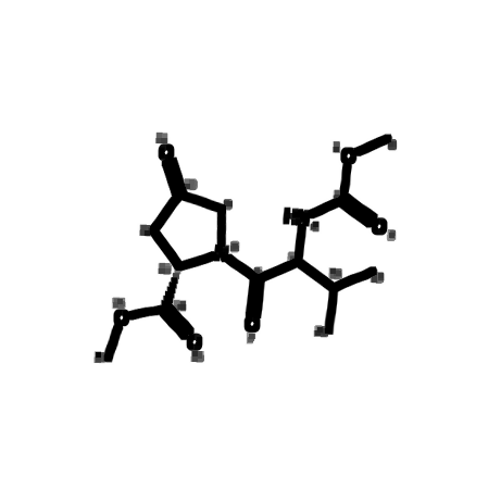 COC(=O)NC(C(=O)N1CC(=O)C[C@H]1C(=O)OC)C(C)C